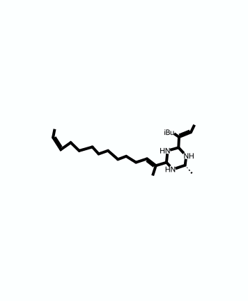 C/C=C\CCCCCCCC/C=C(\C)C1NC(/C(=C/C)C(C)CC)N[C@H](C)N1